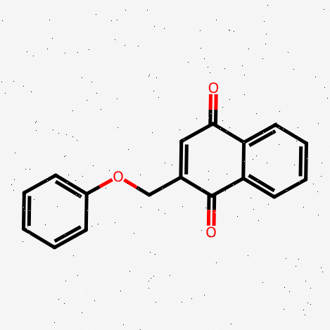 O=C1C=C(COc2ccccc2)C(=O)c2ccccc21